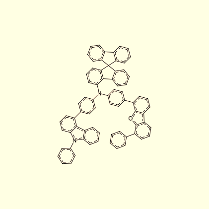 c1ccc(-c2cccc3c2oc2c(-c4ccc(N(c5ccc(-c6cccc7c6c6ccccc6n7-c6ccccc6)cc5)c5cccc6c5-c5ccccc5C65c6ccccc6-c6ccccc65)cc4)cccc23)cc1